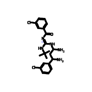 CC(C)(C)N/C(=N/C(=O)c1cccc(Cl)c1)NC(N)CC(N)c1cccc(Cl)c1